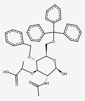 CC(=O)N[C@@H]1[C@@H](OC(C)C(=O)O)[C@H](OCc2ccccc2)[C@@H](COC(c2ccccc2)(c2ccccc2)c2ccccc2)O[C@H]1O